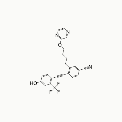 N#Cc1ccc(C#Cc2ccc(O)cc2C(F)(F)F)c(CCCCOc2cnccn2)c1